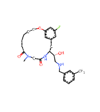 CN1CC(=O)N[C@H]([C@H](O)CNCc2cccc(C(F)(F)F)c2)Cc2cc(F)cc(c2)OCCCCCC1=O